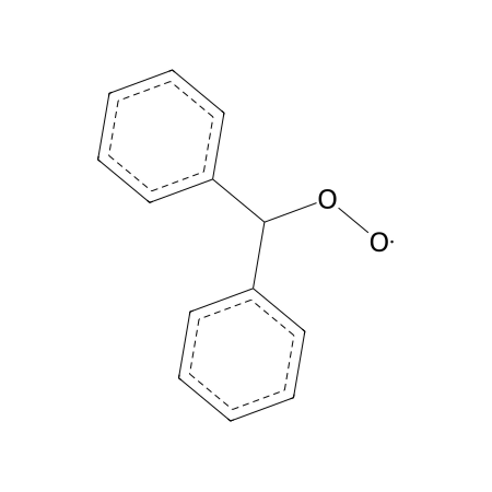 [O]OC(c1ccccc1)c1ccccc1